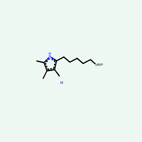 CCCCCCCCCCCCCCc1[nH]c(C)c(C)c1C.I